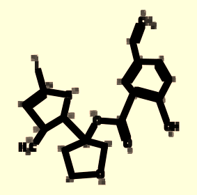 C=Cc1ccc(O)c(C(=O)OC2(C3SC(I)=CC3C)CCOC2)c1